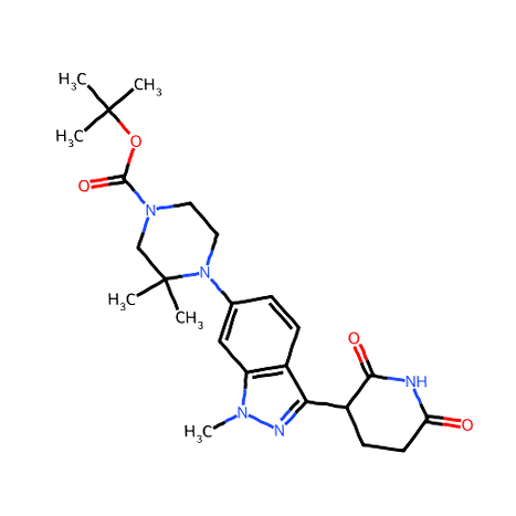 Cn1nc(C2CCC(=O)NC2=O)c2ccc(N3CCN(C(=O)OC(C)(C)C)CC3(C)C)cc21